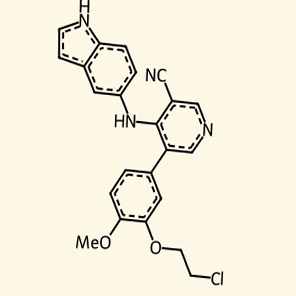 COc1ccc(-c2cncc(C#N)c2Nc2ccc3[nH]ccc3c2)cc1OCCCl